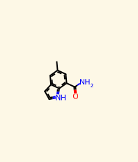 Cc1cc(C(N)=O)c2[nH]ccc2c1